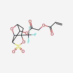 C=CC(=O)OCC(=O)OC1C2CC3(C(F)(F)F)OS(=O)(=O)C1C3O2